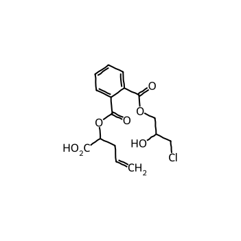 C=CCC(OC(=O)c1ccccc1C(=O)OCC(O)CCl)C(=O)O